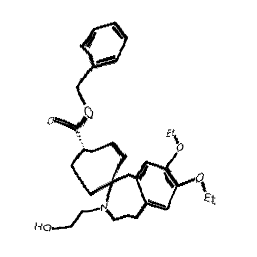 CCOc1cc2c(cc1OCC)[C@]1(CC[C@@H](C(=O)OCc3ccccc3)CC1)N(CCO)CC2